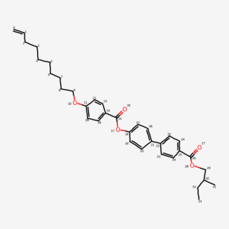 C=CCCCCCCCCOc1ccc(C(=O)Oc2ccc(-c3ccc(C(=O)OCC(C)CC)cc3)cc2)cc1